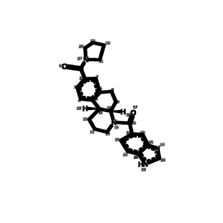 O=C(c1ccc2c(c1)CC[C@H]1[C@@H]2CCCN1C(=O)c1ccc2[nH]cnc2c1)N1CCCC1